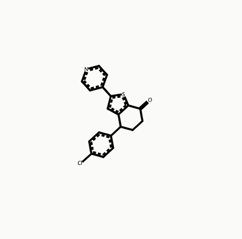 O=C1CCC(c2ccc(Cl)cc2)c2cc(-c3ccncc3)sc21